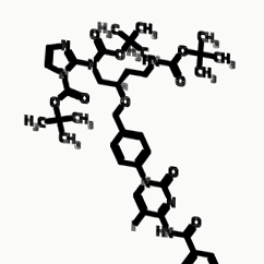 CC(C)(C)OC(=O)NCC[C@H](CN(C(=O)OC(C)(C)C)c1nccn1C(=O)OC(C)(C)C)OCc1ccc(-n2cc(I)c(NC(=O)c3ccccc3)nc2=O)cc1